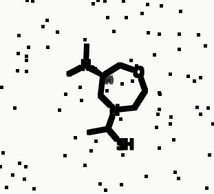 CC(S)N1CCOC[C@H](N(C)C)C1